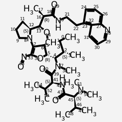 CC[C@H](C)C([C@H]1CC(N2CCC[C@H]2[C@H](OC)[C@@H](C)C(=O)NCCc2cccc3ncccc23)=C(N=O)O1)N(C)C(=O)[C@@H](NC(=O)[C@H](C(C)C)N(C)C)C(C)C